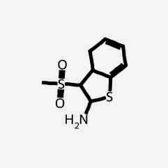 CS(=O)(=O)C1C(N)SC2=CC=CCC21